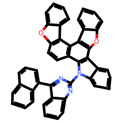 c1ccc2c(-c3nc(-n4c5ccccc5c5c6oc7ccccc7c6c6c(ccc7oc8ccccc8c76)c54)nc4ccccc34)cccc2c1